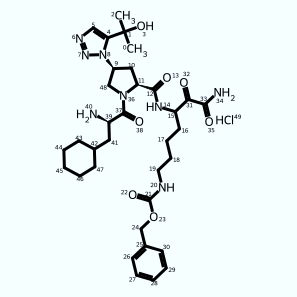 CC(C)(O)c1cnnn1[C@H]1C[C@@H](C(=O)NC(CCCCNC(=O)OCc2ccccc2)C(=O)C(N)=O)N(C(=O)[C@H](N)CC2CCCCC2)C1.Cl